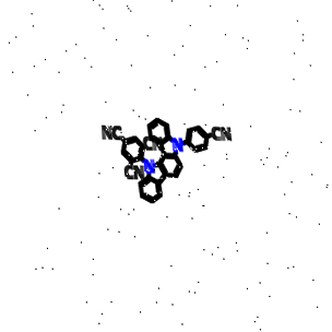 N#Cc1ccc(-n2c3ccccc3c3c2ccc2c4ccccc4n(-c4c(C#N)cc(C#N)cc4C#N)c23)cc1